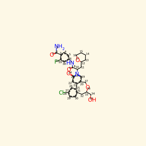 NC(=O)c1ccc(NC(=O)C(CC2CCCCO2)n2cc3c(cc2=O)-c2cc(Cl)ccc2CC(CO)OC3)cc1F